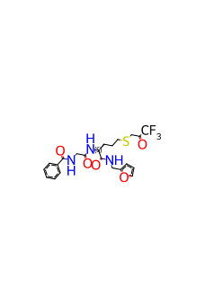 O=C(CNC(=O)c1ccccc1)N[C@@H](CCCSCC(=O)C(F)(F)F)C(=O)NCc1ccco1